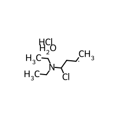 C[CH]CC(Cl)N(CC)CC.Cl.O